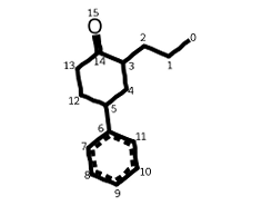 CCCC1CC(c2ccccc2)CCC1=O